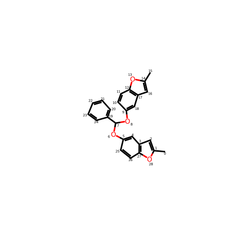 Cc1cc2cc(OC(Oc3ccc4oc(C)cc4c3)c3ccccc3)ccc2o1